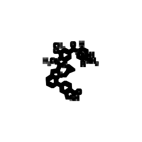 COc1cc(C(=O)N2C[C@H]3CC[C@@H]2C[C@@H]3N)cc2nc(-c3cc4cccc(-c5ccc6c(c5)CNC6=O)c4n3CC3CC3)n(C)c12